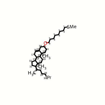 CSCCCCCCCCO[C@H]1CCC2(C)C(=CCC3C2CCC2(C)C(C(C)CCCC(C)C)CCC32)C1